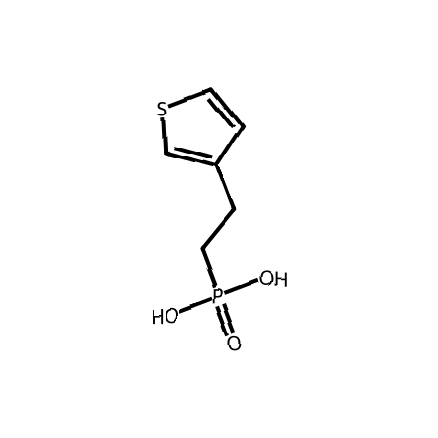 O=P(O)(O)CCc1ccsc1